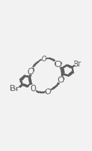 Brc1ccc2c(c1)OCCOCCOc1ccc(Br)cc1OCCOCCO2